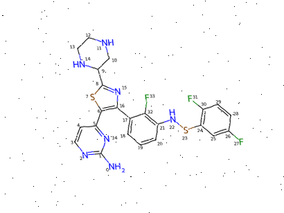 Nc1nccc(-c2sc(C3CNCCN3)nc2-c2cccc(NSc3cc(F)ccc3F)c2F)n1